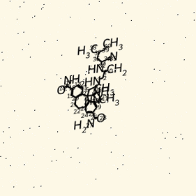 C=C(CN[C@H](C)CC1(C(=N)NC)c2ccc(C(N)=O)cc2CCc2cc(C(N)=O)ccc21)NC(C#N)C[C@@H](C)CC